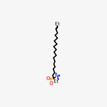 CCC=CCCCCCCCCCCCCCCCCC(CC)(P(=O)=O)[N+](C)(C)C